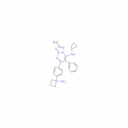 Cc1nc2nc(-c3ccc(C4(N)CCC4)cc3)c(-c3ccccc3)c(NC3CCC3)n2n1